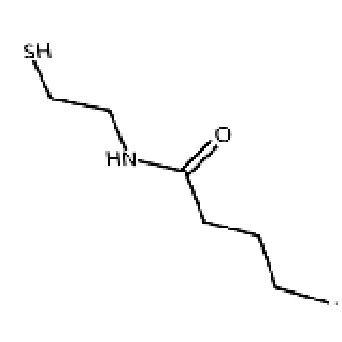 [CH2]CCCC(=O)NCCS